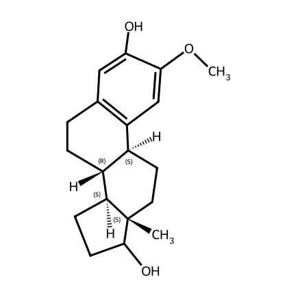 COc1cc2c(cc1O)CC[C@@H]1[C@@H]2CC[C@]2(C)C(O)CC[C@@H]12